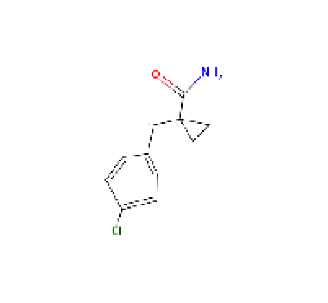 NC(=O)C1([CH]c2ccc(Cl)cc2)CC1